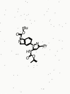 C=C(C)OC(=O)Nc1cc(C(C)C)nn1-c1ccc2c(cnn2C(=O)OC(C)(C)C)c1